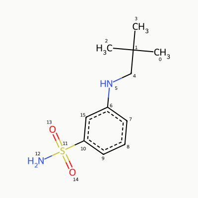 CC(C)(C)CNc1cccc(S(N)(=O)=O)c1